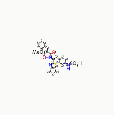 COC(=O)[C@@H](Cc1ccccc1)C(=O)N[C@@H](Cc1ccc(NS(=O)(=O)O)cc1)c1nc2c(s1)CCC2